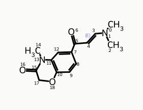 CN(C)/C=C/C(=O)c1ccc2c(c1)N(C)C(=O)CO2